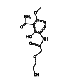 COc1ccc(NC(=O)COCCO)c(O)c1C(N)=O